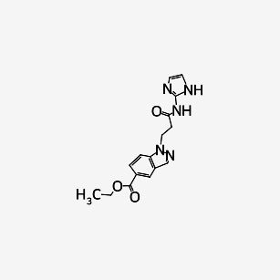 CCOC(=O)c1ccc2c(cnn2CCC(=O)Nc2ncc[nH]2)c1